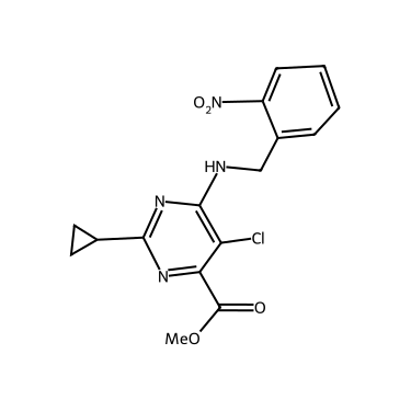 COC(=O)c1nc(C2CC2)nc(NCc2ccccc2[N+](=O)[O-])c1Cl